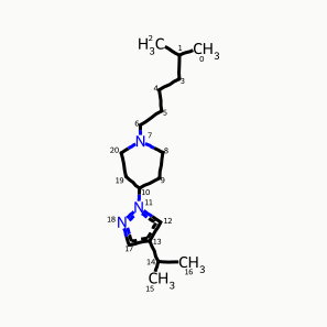 CC(C)CCCCN1CCC(n2cc(C(C)C)cn2)CC1